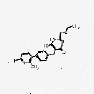 CCOCc1nc(=O)c(Cc2ccc(-c3ccc(F)nc3C)cc2)c(O)[nH]1